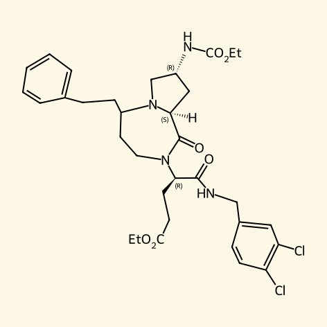 CCOC(=O)CC[C@H](C(=O)NCc1ccc(Cl)c(Cl)c1)N1CCC(CCc2ccccc2)N2C[C@H](NC(=O)OCC)C[C@H]2C1=O